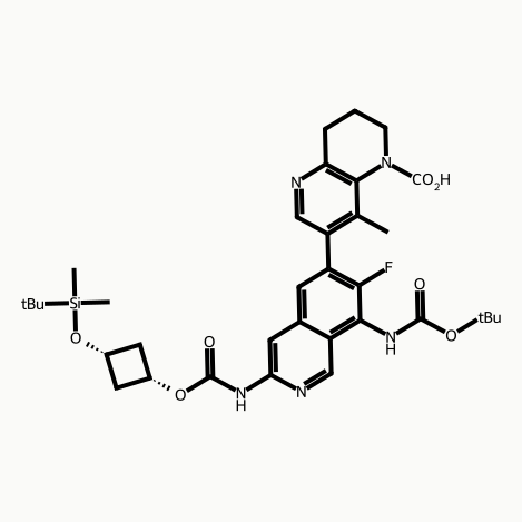 Cc1c(-c2cc3cc(NC(=O)O[C@H]4C[C@@H](O[Si](C)(C)C(C)(C)C)C4)ncc3c(NC(=O)OC(C)(C)C)c2F)cnc2c1N(C(=O)O)CCC2